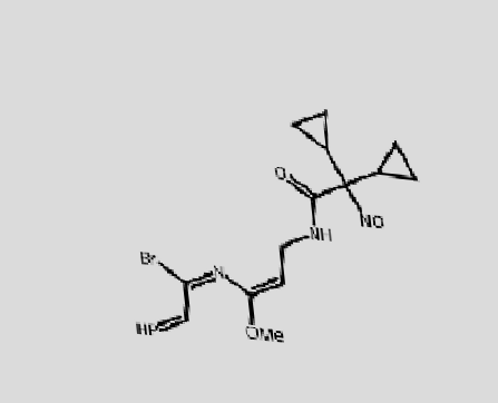 COC(=C/CNC(=O)C(N=O)(C1CC1)C1CC1)/N=C(/Br)C=P